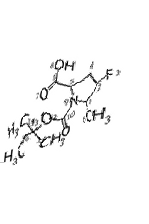 CC1C(F)CC(C(=O)O)N1C(=O)OC(C)(C)C